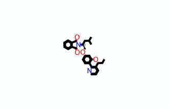 CCC1Oc2cc(OC[C@H](CC(C)C)N3C(=O)c4ccccc4C3=O)ccc2-c2ncccc21